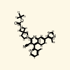 Cc1cccnc1-c1c(C#N)c(N2CCC3(CN(C(=O)OC(C)(C)C)C3)C2)nc2c1CCC(c1scnc1C)=C2